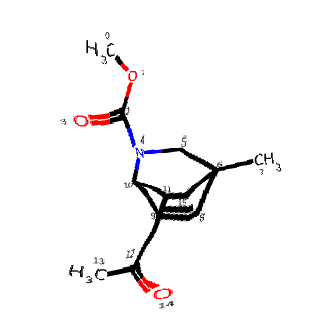 COC(=O)N1CC2(C)C=CC1C(C(C)=O)C2